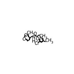 CCc1cnc(OC(CC)C(=O)NCC2=C/C=C/OCO\C(C)=C\2)c(Cl)c1